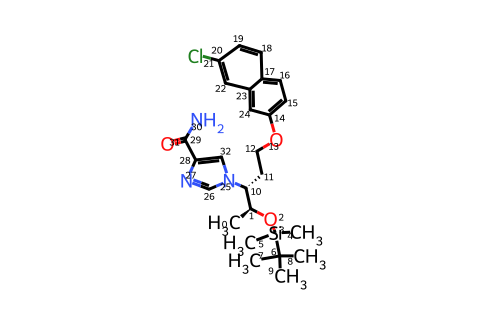 C[C@H](O[Si](C)(C)C(C)(C)C)[C@@H](CCOc1ccc2ccc(Cl)cc2c1)n1cnc(C(N)=O)c1